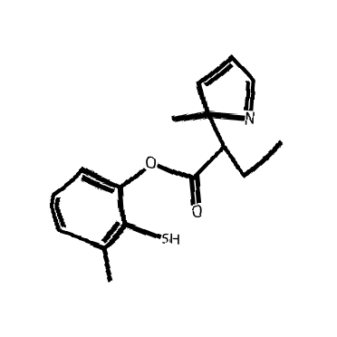 CCC(C(=O)Oc1cccc(C)c1S)C1(C)C=CC=N1